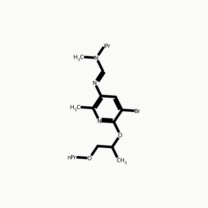 CCCOCC(C)Oc1nc(C)c(/N=C/N(C)C(C)C)cc1Br